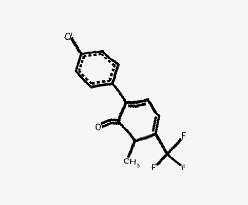 CC1C(=O)C(c2ccc(Cl)cc2)=CC=C1C(F)(F)F